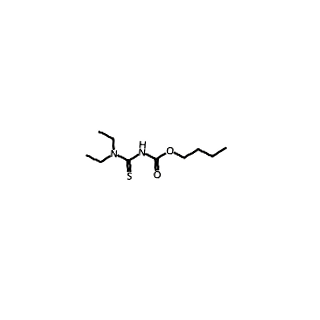 CCCCOC(=O)NC(=S)N(CC)CC